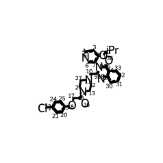 CC(C)Oc1ccncc1-n1c(CN2CCN(C(=O)COc3ccc(Cl)cc3)CC2)nc2ccccc2c1=O